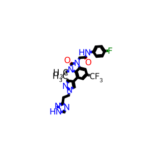 Cc1nn(CCc2nc[nH]n2)cc1-c1cc(C(F)(F)F)cc2c1n(C)c(=O)n2CC(=O)Nc1ccc(F)cc1